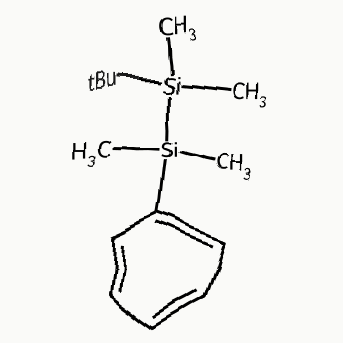 CC(C)(C)[Si](C)(C)[Si](C)(C)c1ccccc1